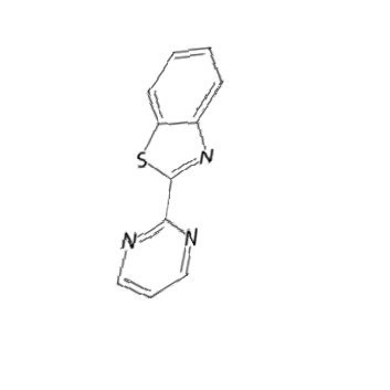 c1cnc(-c2nc3ccccc3s2)nc1